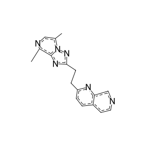 Cc1ncc(C)n2nc(CCc3ccc4ccncc4n3)nc12